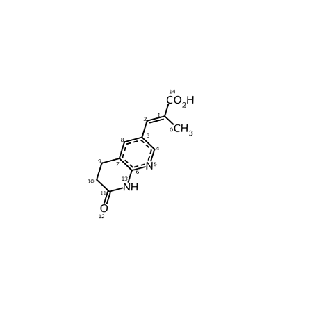 CC(=Cc1cnc2c(c1)CCC(=O)N2)C(=O)O